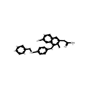 Cc1c(CC(=O)O)cc2ccc(F)cc2c1Cc1ccc(SCc2ccccc2)cc1